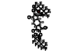 O=c1c2cc3c(=O)n(OS(=O)(=O)C(F)(F)C(F)(F)C(F)(F)C(F)(F)F)c(=O)c3cc2c(=O)n1OS(=O)(=O)C(F)(F)C(F)(F)C(F)(F)C(F)(F)F